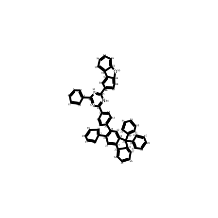 c1ccc(-c2nc(-c3ccc(-c4cc5c(cc4-c4ccccc4)-c4ccccc4C5(c4ccccc4)c4ccccc4)cc3)nc(-c3ccc4oc5ccccc5c4c3)n2)cc1